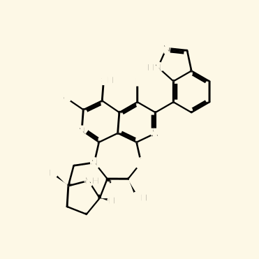 Cc1nc2c3c(nc(-c4cccc5cn[nH]c45)c(F)c3c1C)O[C@@H](C)[C@@H]1[C@@H]3CC[C@H](CN21)N3